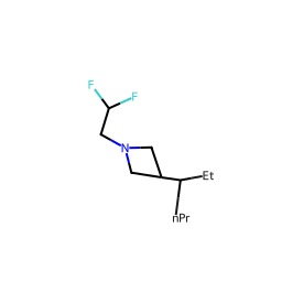 CCCC(CC)C1CN(CC(F)F)C1